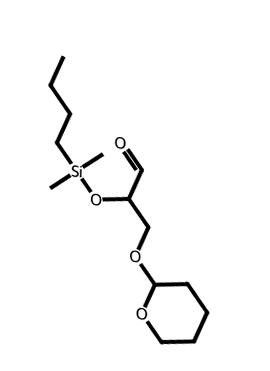 CCCC[Si](C)(C)OC(C=O)COC1CCCCO1